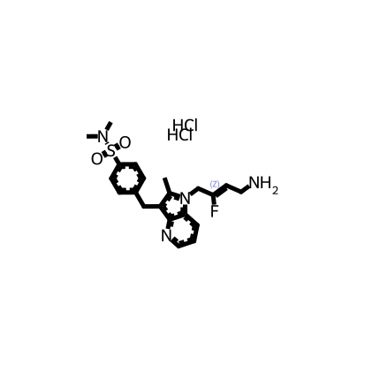 Cc1c(Cc2ccc(S(=O)(=O)N(C)C)cc2)c2ncccc2n1C/C(F)=C/CN.Cl.Cl